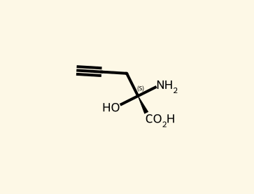 C#CC[C@](N)(O)C(=O)O